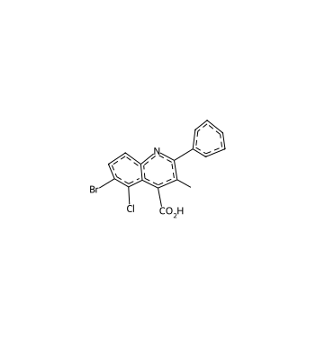 Cc1c(-c2ccccc2)nc2ccc(Br)c(Cl)c2c1C(=O)O